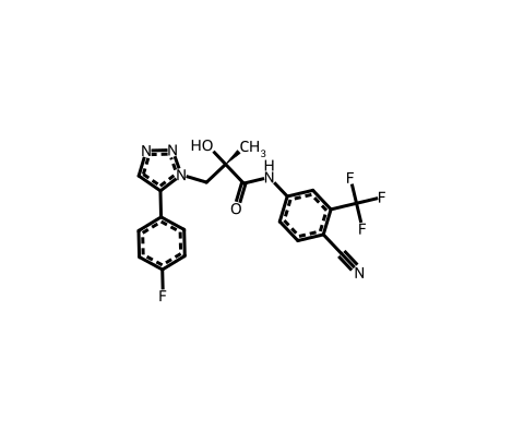 C[C@](O)(Cn1nncc1-c1ccc(F)cc1)C(=O)Nc1ccc(C#N)c(C(F)(F)F)c1